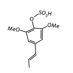 CC=Cc1cc(OC)c(OS(=O)(=O)O)c(OC)c1